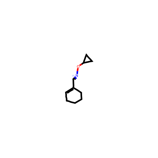 [C](=N\OC1CC1)/C1=CCCCC1